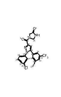 O=C1CN(C(=O)c2cc(-c3cc(F)cc(C(F)(F)F)c3)n(-c3cccc(Cl)c3)n2)CN1